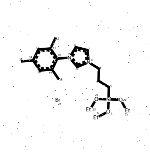 CCO[Si](CCCn1cc[n+](-c2c(C)cc(C)cc2C)c1)(OCC)OCC.[Br-]